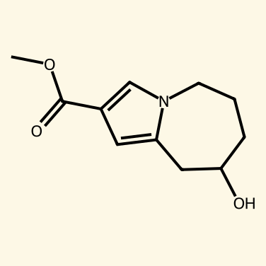 COC(=O)c1cc2n(c1)CCCC(O)C2